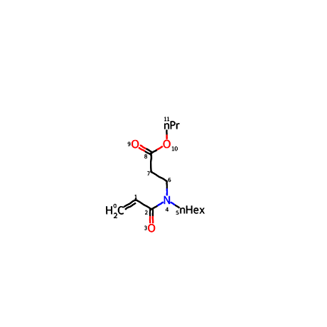 C=CC(=O)N(CCCCCC)CCC(=O)OCCC